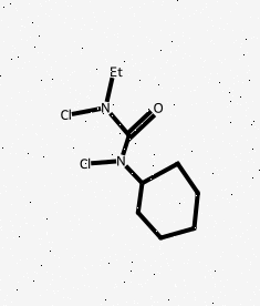 CCN(Cl)C(=O)N(Cl)C1CCCCC1